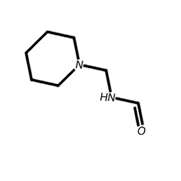 O=CNCN1CCCCC1